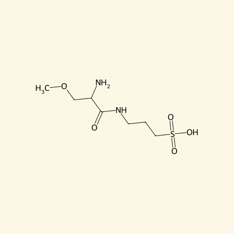 COCC(N)C(=O)NCCCS(=O)(=O)O